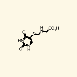 O=C(O)CNCSc1c[nH]c(=O)[nH]c1=O